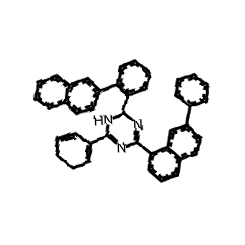 C1=CC(C2=NC(c3cccc4ccc(-c5ccccc5)cc34)=NC(c3ccccc3-c3ccc4ccccc4c3)N2)=CCC1